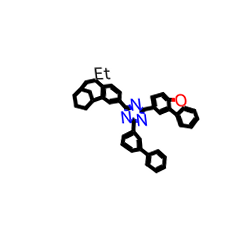 CCC1CC2CCCC(C2)c2cc(-c3nc(-c4cccc(-c5ccccc5)c4)nc(-c4ccc5oc6ccccc6c5c4)n3)ccc21